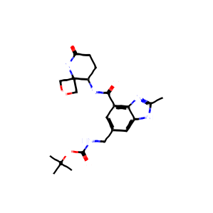 Cc1nc2c(C(=O)NC3CCC(=O)NC34COC4)cc(CNC(=O)OC(C)(C)C)cc2[nH]1